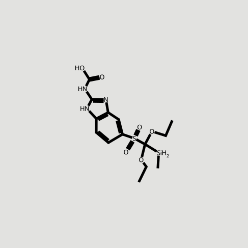 CCOC(OCC)([SiH2]C)S(=O)(=O)c1ccc2[nH]c(NC(=O)O)nc2c1